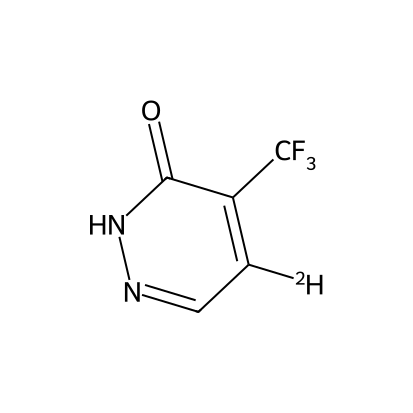 [2H]c1cn[nH]c(=O)c1C(F)(F)F